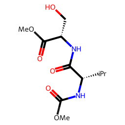 COC(=O)N[C@H](C(=O)N[C@@H](CO)C(=O)OC)C(C)C